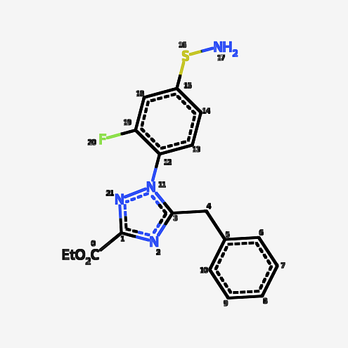 CCOC(=O)c1nc(Cc2ccccc2)n(-c2ccc(SN)cc2F)n1